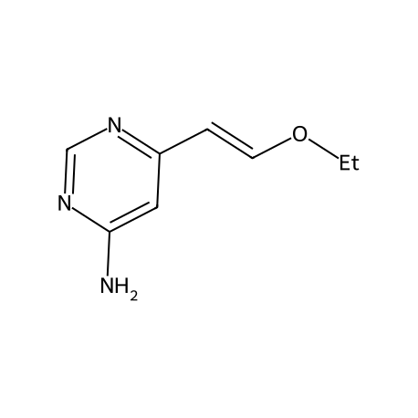 CCOC=Cc1cc(N)ncn1